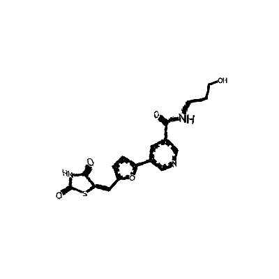 O=C1NC(=O)/C(=C\c2ccc(-c3cncc(C(=O)NCCCO)c3)o2)S1